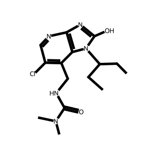 CCC(CC)n1c(O)nc2ncc(Cl)c(CNC(=O)N(C)C)c21